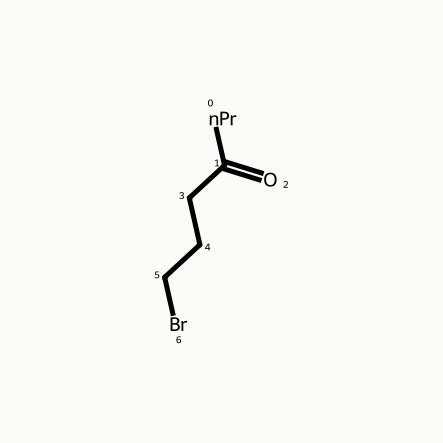 CCCC(=O)CCCBr